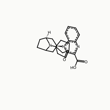 O=C(O)c1nc2ccccc2n([C@H]2CC3CC[C@@H](C2)N3C23CCC(CC2)C3)c1=O